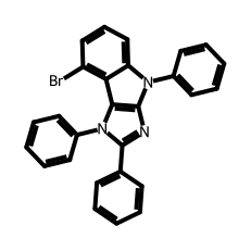 Brc1cccc2c1c1c(nc(-c3ccccc3)n1-c1ccccc1)n2-c1ccccc1